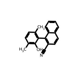 Cc1ccc(C)c(-c2c(C#N)ccc3ccccc23)c1O